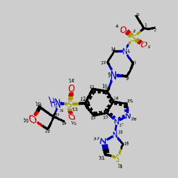 CC(C)S(=O)(=O)N1CCN(c2cc(S(=O)(=O)NC3(C)COC3)cc3c2cnn3N2CSC=N2)CC1